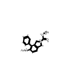 CC(=O)Nc1ccc2c(c1-c1ccccc1)CN(C(=O)OC(C)(C)C)C2